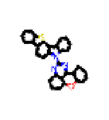 c1ccc2c(c1)Oc1cccc3nc(-n4c5ccccc5c5c6sc7ccccc7c6ccc54)nc-2c13